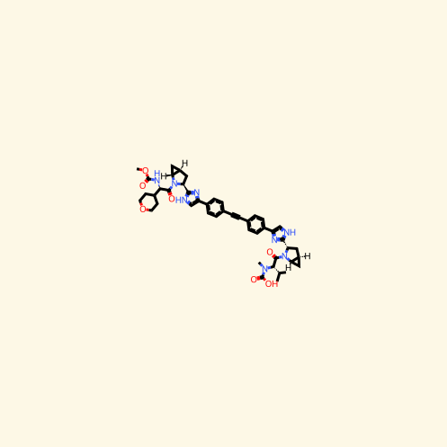 COC(=O)N[C@H](C(=O)N1[C@@H]2C[C@H]2C[C@H]1c1nc(-c2ccc(C#Cc3ccc(-c4c[nH]c([C@@H]5C[C@H]6C[C@H]6N5C(=O)[C@H](C(C)C)N(C)C(=O)O)n4)cc3)cc2)c[nH]1)C1CCOCC1